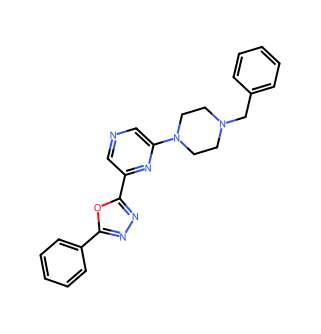 c1ccc(CN2CCN(c3cncc(-c4nnc(-c5ccccc5)o4)n3)CC2)cc1